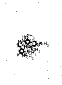 C=CC(=O)Nc1cc(Nc2nccc(-c3cc(F)c4nc(C)n(C(C)C)c4c3)n2)c(OC)cc1N1CCC(OCC)CC1